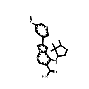 COc1cncc(-c2cc3c(N[C@@H]4CCC(C)C4(C)C)c(C(N)=O)cnn3c2)c1